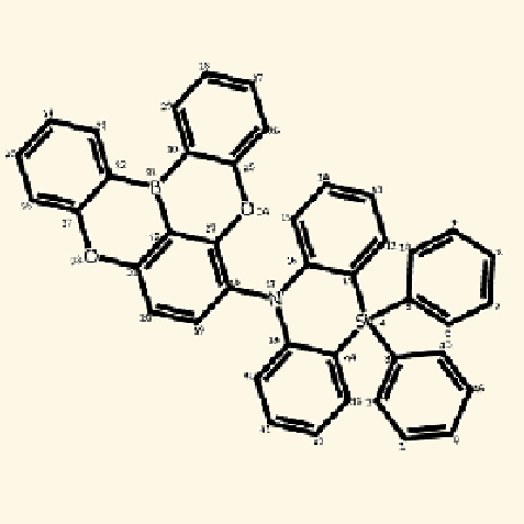 c1ccc([Si]2(c3ccccc3)c3ccccc3N(c3ccc4c5c3Oc3ccccc3B5c3ccccc3O4)c3ccccc32)cc1